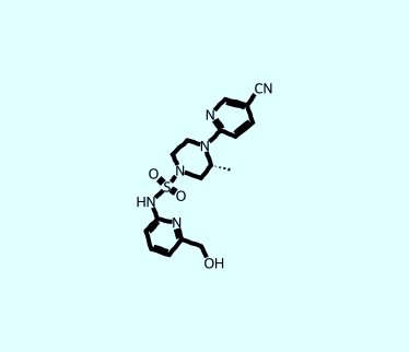 C[C@@H]1CN(S(=O)(=O)Nc2cccc(CO)n2)CCN1c1ccc(C#N)cn1